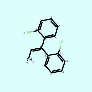 CC=C(c1ccccc1F)c1ccccc1F